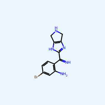 N=C(c1nc2c([nH]1)CNC2)c1ccc(Br)cc1N